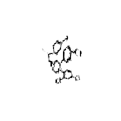 C[C@@H](CN1CCN(c2ccc(Cl)cc2Cl)[C@H](c2ccc(Cl)cc2)C1)c1ccc(I)cc1